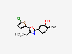 COc1ccc(-c2nc(CC(=O)O)c(-c3ccc(Cl)s3)o2)cc1O